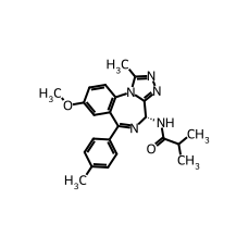 COc1ccc2c(c1)C(c1ccc(C)cc1)=N[C@@H](NC(=O)C(C)C)c1nnc(C)n1-2